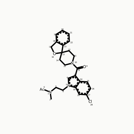 CC(=O)N(C)CCn1cc(C(=O)N2CCC3(CC2)OCc2ccccc23)c2ccc(Cl)cc21